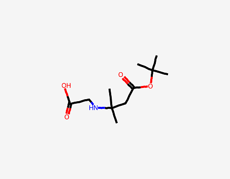 CC(C)(CC(=O)OC(C)(C)C)NCC(=O)O